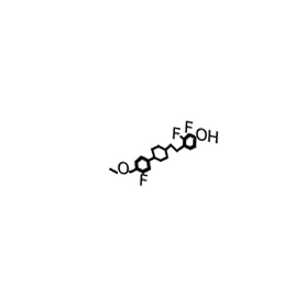 CCOCc1ccc(C2CCC(CCc3ccc(O)c(F)c3F)CC2)cc1F